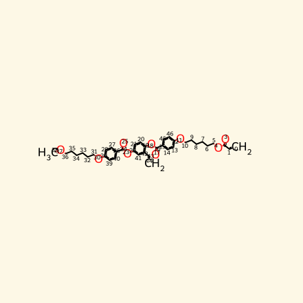 C=CC(=O)OCCCCCCOc1ccc(C(=O)Oc2ccc(OC(=O)c3ccc(OCCCCCCOC)cc3)cc2C=C)cc1